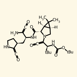 CC(C)(C)OC(=O)N[C@H](C(=C=O)N1C[C@H]2[C@@H]([C@H]1C(=O)N[C@@H](C[C@@H]1CCNC1=C=O)C(N)=C=O)C2(C)C)C(C)(C)C